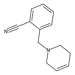 N#Cc1ccccc1CN1CC=CCC1